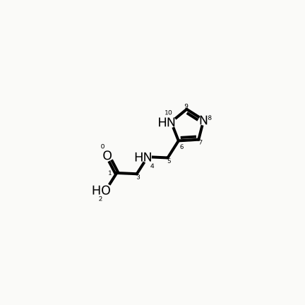 O=C(O)CNCc1cnc[nH]1